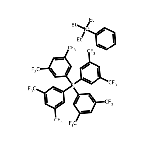 CC[N+](CC)(CC)c1ccccc1.FC(F)(F)c1cc([B-](c2cc(C(F)(F)F)cc(C(F)(F)F)c2)(c2cc(C(F)(F)F)cc(C(F)(F)F)c2)c2cc(C(F)(F)F)cc(C(F)(F)F)c2)cc(C(F)(F)F)c1